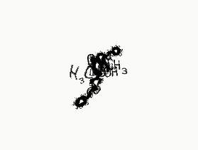 Cc1c(C2CCN(C(=O)OCc3ccccc3)CC2)oc2c(C(C)O)c(OCc3ccccc3)ccc2c1=O